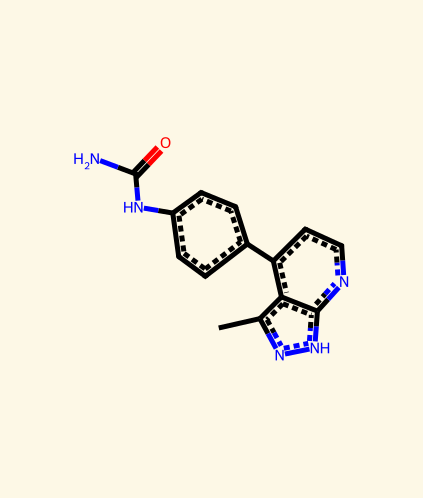 Cc1n[nH]c2nccc(-c3ccc(NC(N)=O)cc3)c12